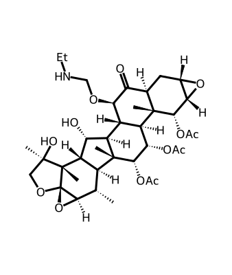 CCNCO[C@H]1C(=O)[C@H]2C[C@@H]3O[C@@H]3[C@H](OC(C)=O)[C@]2(C)[C@H]2[C@H](OC(C)=O)[C@H](OC(C)=O)[C@@]3(C)[C@@H]([C@@H](O)[C@@H]4[C@@H]3[C@H](C)[C@H]3O[C@]35OC[C@@](C)(O)[C@]45C)[C@@H]21